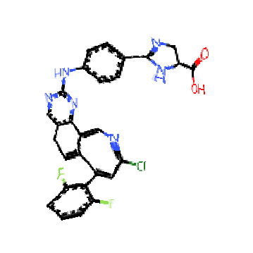 O=C(O)C1CN=C(c2ccc(Nc3ncc4c(n3)C3=CN=C(Cl)C=C(c5c(F)cccc5F)C3=CC4)cc2)N1